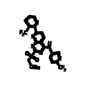 CC(C)COCS(=O)(=O)c1nc(Nc2ccc(C(F)(F)F)nc2)c2ccc(-c3ncccc3C(F)(F)F)nc2n1